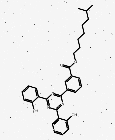 CC(C)CCCCCCOC(=O)c1cccc(-c2nc(-c3ccccc3O)nc(-c3ccccc3O)n2)c1